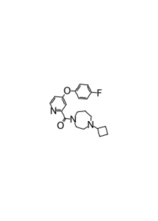 O=C(c1cc(Oc2ccc(F)cc2)ccn1)N1CCCN(C2CCC2)CC1